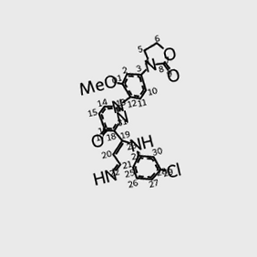 COc1cc(N2CCOC2=O)ccc1-n1ccc(=O)c(/C(=C/C=N)Nc2cccc(Cl)c2)n1